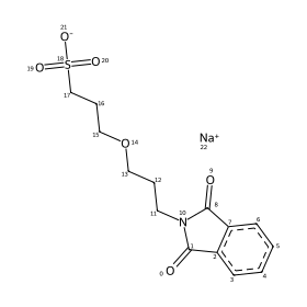 O=C1c2ccccc2C(=O)N1CCCOCCCS(=O)(=O)[O-].[Na+]